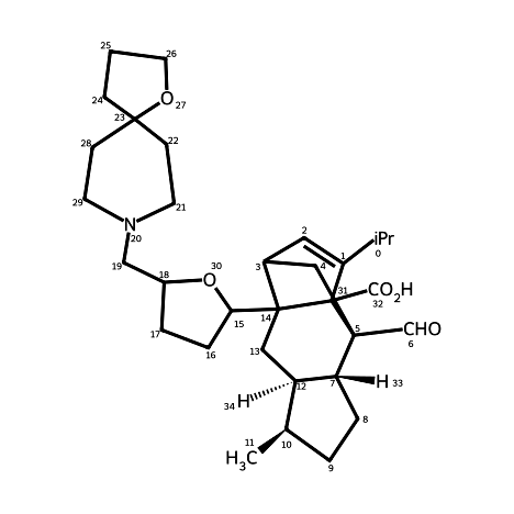 CC(C)C1=CC2CC3(C=O)[C@@H]4CC[C@@H](C)[C@H]4CC2(C2CCC(CN4CCC5(CCCO5)CC4)O2)C13C(=O)O